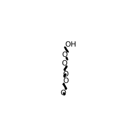 COCCOCOCCOCOCCO